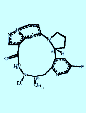 CCN1NC(=O)c2cnn3ccc(nc23)N2CCC[C@@H]2c2cc(F)cnc2C[C@H]1C